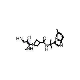 CN/C(=C(/Cl)C=N)N1CC(C(=O)NC(C)(C)c2cnc3ccc(C)cn23)C1